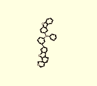 c1ccc(N(c2cccc(-c3ccc4c(c3)sc3c5cnccc5ccc43)c2)c2ccc3oc4ccccc4c3c2)cc1